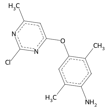 Cc1cc(Oc2cc(C)c(N)cc2C)nc(Cl)n1